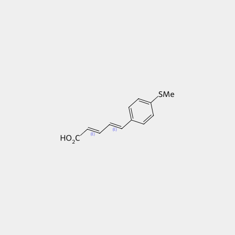 CSc1ccc(/C=C/C=C/C(=O)O)cc1